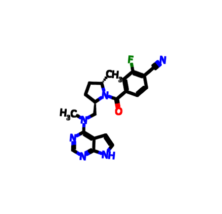 C[C@H]1CC[C@H](CN(C)c2ncnc3[nH]ccc23)N1C(=O)c1ccc(C#N)c(F)c1